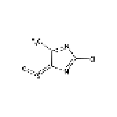 O=S=C1N=C(Cl)N=C1C(F)(F)F